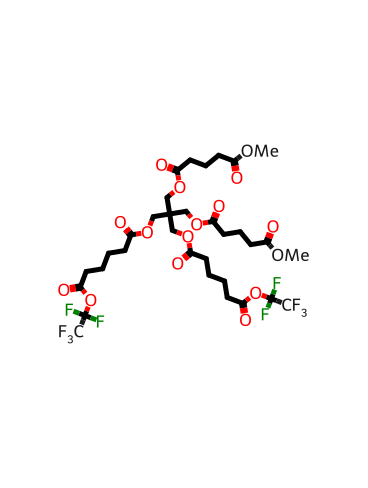 COC(=O)CCCC(=O)OCC(COC(=O)CCCCC(=O)OC(F)(F)C(F)(F)F)(COC(=O)CCCCC(=O)OC(F)(F)C(F)(F)F)COC(=O)CCCC(=O)OC